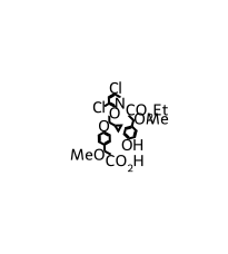 CCOC(=O)CC(OC)c1ccc(O)cc1.COC(CC(=O)O)c1ccc(OC(COc2ncc(Cl)cc2Cl)C2CC2)cc1